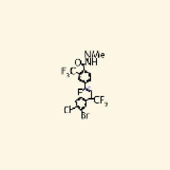 CNNC(=O)c1ccc(/C(F)=C/C(c2ccc(Cl)c(Br)c2)C(F)(F)F)cc1C(F)(F)F